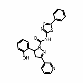 O=C(Nc1nnc(-c2ccccc2)s1)N1N=C(c2cccnc2)CC1c1ccccc1O